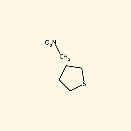 C1CCSC1.C[N+](=O)[O-]